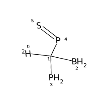 [2H]C(B)(P)P=S